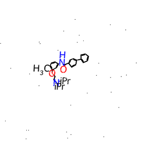 Cc1ccc(NC(=O)c2ccc(-c3ccccc3)cc2)cc1OCCN(C(C)C)C(C)C